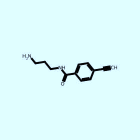 C#Cc1ccc(C(=O)NCCCN)cc1